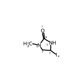 CN1CC(I)NC1=O